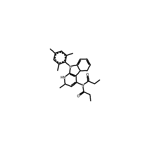 CCC(=O)N(C(=O)CC)C1=CC(C)NC2=C1C1CC=CC=C1N2c1c(C)cc(C)cc1C